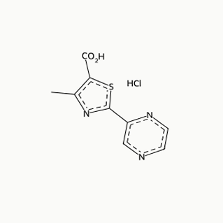 Cc1nc(-c2cnccn2)sc1C(=O)O.Cl